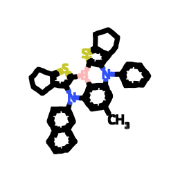 Cc1cc2c3c(c1)N(c1ccc4ccccc4c1)c1c(sc4c1CCCC4)B3c1sc3c(c1N2c1ccccc1)CCCC3